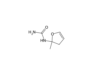 CC1(NC(N)=O)CC=CO1